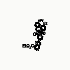 CCCc1ccc(CNC(=O)C2CN(c3nc4c(C(=O)OCC)cncc4s3)CCN2S(=O)(=O)c2ccc(CC)cc2)cc1